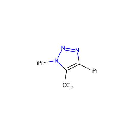 CC(C)c1nnn(C(C)C)c1C(Cl)(Cl)Cl